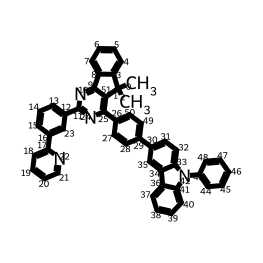 CC1(C)c2ccccc2-c2nc(-c3cccc(-c4ccccn4)c3)nc(-c3ccc(-c4ccc5c(c4)c4ccccc4n5-c4ccccc4)cc3)c21